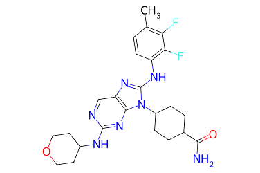 Cc1ccc(Nc2nc3cnc(NC4CCOCC4)nc3n2C2CCC(C(N)=O)CC2)c(F)c1F